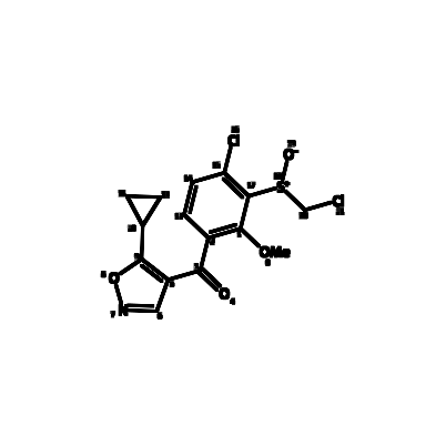 COc1c(C(=O)c2cnoc2C2CC2)ccc(Cl)c1[S+]([O-])CCl